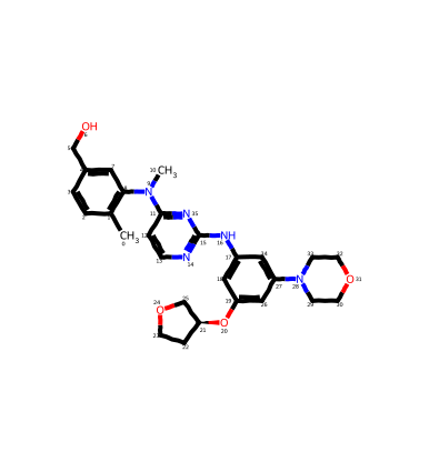 Cc1ccc(CO)cc1N(C)c1ccnc(Nc2cc(O[C@H]3CCOC3)cc(N3CCOCC3)c2)n1